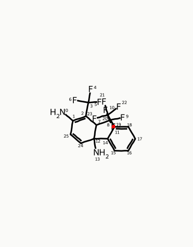 NC1=C(C(F)(F)F)C(C(F)(F)F)C(N)(c2ccccc2C(F)(F)F)C=C1